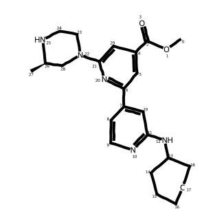 COC(=O)c1cc(-c2ccnc(NC3CCCCC3)c2)nc(N2CCN[C@H](C)C2)c1